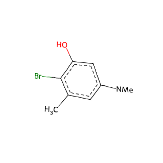 CNc1cc(C)c(Br)c(O)c1